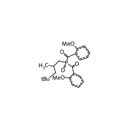 COc1ccccc1C(=O)P(=O)(CC(C)CC(C)(C)C)C(=O)c1ccccc1OC